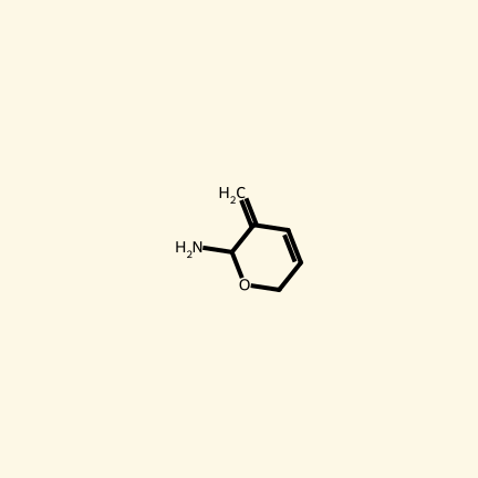 C=C1C=CCOC1N